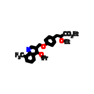 CCOC(=O)C(Cc1ccc(OCc2cnc3c(C(F)(F)F)cccc3c2OC(C)C)cc1)OCC